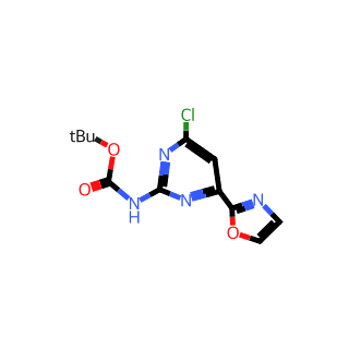 CC(C)(C)OC(=O)Nc1nc(Cl)cc(-c2ncco2)n1